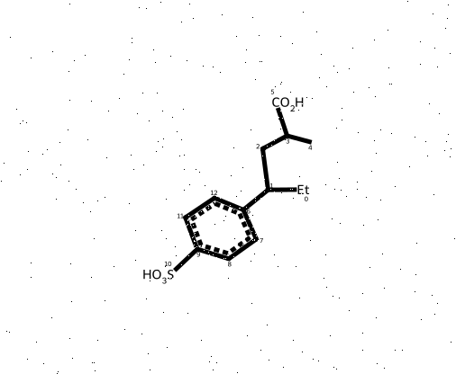 CCC(CC(C)C(=O)O)c1ccc(S(=O)(=O)O)cc1